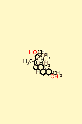 CC(C)C(C)(O)CC[C@@H](C)[C@H]1CCC2[C@@H]3CC=C4C[C@@](C)(O)CC[C@]4(C)C3CC[C@@]21C